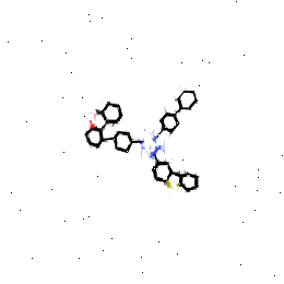 C1=CC(c2ccc(-c3nc(-c4ccc(-c5cccc6c5-c5ccccc5CO6)cc4)nc(-c4ccc5sc6ccccc6c5c4)n3)cc2)=CCC1